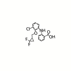 O=C(O)c1ccccc1Nc1cccc(Cl)c1OCC1CC1(F)F